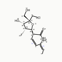 C/C=C(N)\C=C/N(C(N)=O)[C@@H]1O[C@@](CO)(CCl)[C@@H](O)[C@H]1F